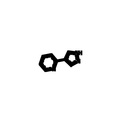 [c]1n[nH]cc1-c1ccccn1